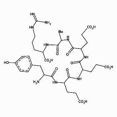 CCC(C)C(NC(=O)C(CCC(=O)O)NC(=O)C(CCC(=O)O)NC(=O)C(CCC(=O)O)NC(=O)C(N)Cc1ccc(O)cc1)C(=O)NC(CCCNC(=N)N)C(=O)O